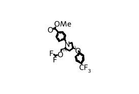 COC(=O)c1ccc(N2C[C@@H](Oc3ccc(C(F)(F)F)cc3)C[C@H]2COC(F)F)cc1